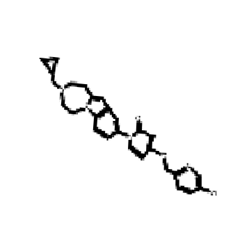 O=c1cc(OCc2ccc(Cl)cn2)ccn1-c1ccc2c(c1)cc1n2CCN(CC2CC2)CC1